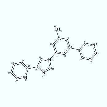 Cc1cc(-c2cccnc2)cc(-n2cnc(-c3ccccn3)c2)c1